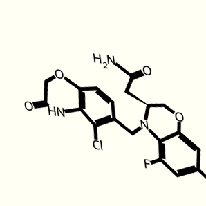 NC(=O)C[C@H]1COc2cc(F)cc(F)c2N1Cc1ccc2c(c1Cl)NC(=O)CO2